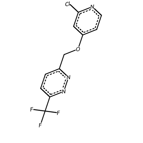 FC(F)(F)c1ccc(COc2ccnc(Cl)c2)nn1